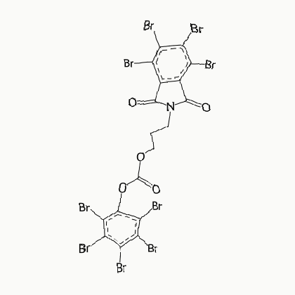 O=C(OCCCN1C(=O)c2c(Br)c(Br)c(Br)c(Br)c2C1=O)Oc1c(Br)c(Br)c(Br)c(Br)c1Br